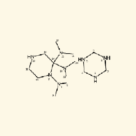 C1NCNCN1.CN(C)N1CCNCC1(N(C)C)N(C)C